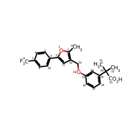 Cc1oc(-c2ccc(C(F)(F)F)cc2)cc1COc1cccc(C(C)(C)C(=O)O)c1